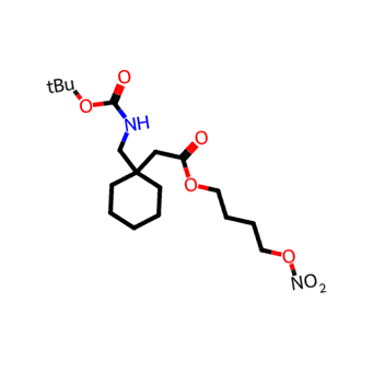 CC(C)(C)OC(=O)NCC1(CC(=O)OCCCCO[N+](=O)[O-])CCCCC1